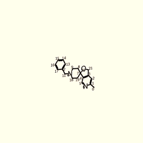 Cc1cc2c(cn1)C1(CCN(Cc3ccccc3)CC1)OC2